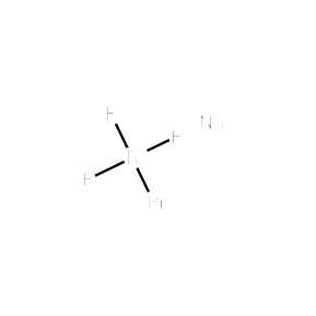 F[B-](F)(F)Br.[Na+]